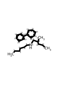 CCCCCCNCC(C)CCC.c1ccc(-c2ccccc2)cc1